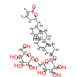 CC1=C(C)C(=O)OC(CC2CCC3[C@@H]4CC=C5C[C@@H](OC6OC(COC7OC(CO)C(O)C(O)C7O)C(O)C(O)C6O)CC[C@]5(C)C4CC[C@]23C)C1